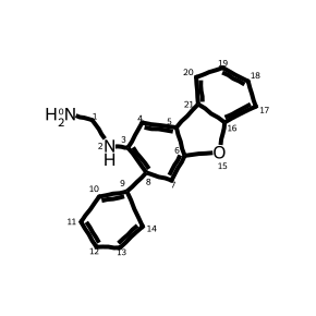 NCNc1cc2c(cc1-c1ccccc1)oc1ccccc12